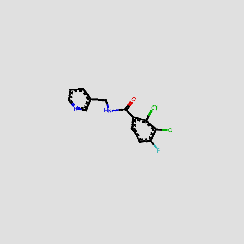 O=C(NCc1cccnc1)c1ccc(F)c(Cl)c1Cl